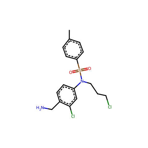 Cc1ccc(S(=O)(=O)N(CCCCl)c2ccc(CN)c(Cl)c2)cc1